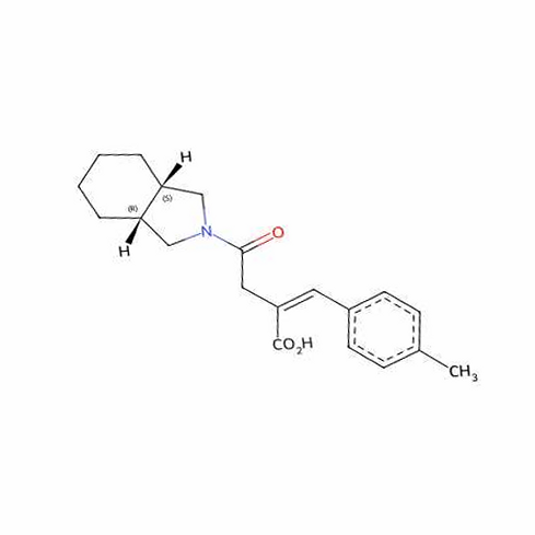 Cc1ccc(C=C(CC(=O)N2C[C@H]3CCCC[C@H]3C2)C(=O)O)cc1